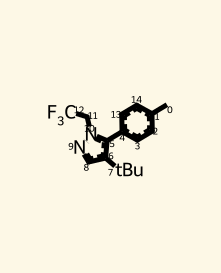 Cc1ccc(-c2c(C(C)(C)C)cnn2CC(F)(F)F)cc1